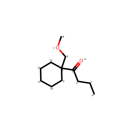 CCCC(=O)C1(COC)CCCCC1